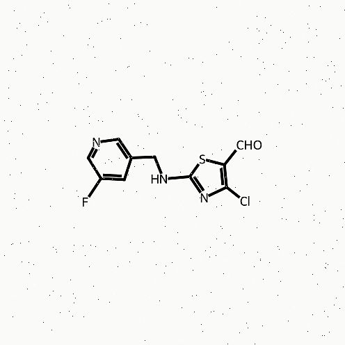 O=Cc1sc(NCc2cncc(F)c2)nc1Cl